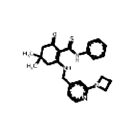 CC1(C)CC(=O)C(C(=S)Nc2ccccc2)=C(NCc2ccnc(N3CCC3)c2)C1